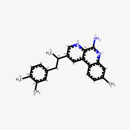 Cc1ccc2c(c1)nc(N)c1ncc(C(C)Cc3ccc(C)c(C)c3)cc12